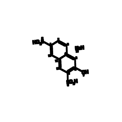 O=S(=O)(O)c1ccc2cc(O)c(S(=O)(=O)O)cc2c1.[NaH]